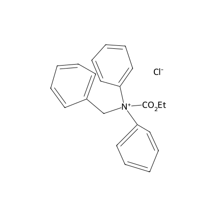 CCOC(=O)[N+](Cc1ccccc1)(c1ccccc1)c1ccccc1.[Cl-]